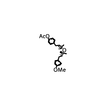 COc1ccc(CC[Si](C)(C)O[Si](C)(C)CCc2ccc(OC(C)=O)cc2)cc1